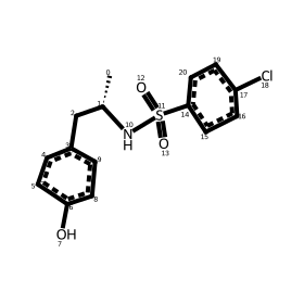 C[C@@H](Cc1ccc(O)cc1)NS(=O)(=O)c1ccc(Cl)cc1